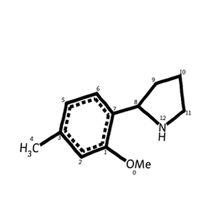 COc1cc(C)ccc1C1CCCN1